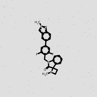 CN1CCC12C(=O)N(Cc1c(F)cc(-c3ccc4nn(C)cc4c3)cc1F)c1ccccc12